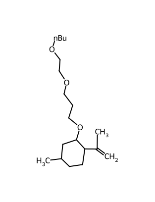 C=C(C)C1CCC(C)CC1OCCCOCCOCCCC